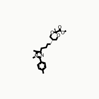 COC(=O)[C@]1(C)OC[C@H](CCCCc2nc(-c3ccc(C)cc3)n(C)c2C)CO1